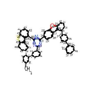 Cc1cccc(-c2cccc(-c3nc(-c4ccc5c(c4)oc4cccc(-c6ccc(-c7ccccc7)cc6)c45)nc(-c4cccc5sc6ccccc6c45)n3)c2)c1